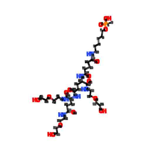 CP(=O)(O)OCCCCCCNC(=O)CCCC(=O)NC(CCC(=O)NC(CCC(=O)NCCOCCO)C(=O)NCCOCCO)C(=O)NCCOCCO